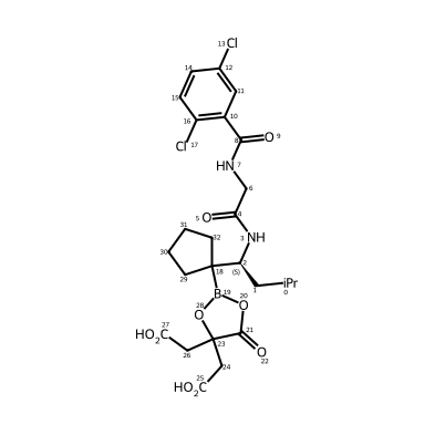 CC(C)C[C@H](NC(=O)CNC(=O)c1cc(Cl)ccc1Cl)C1(B2OC(=O)C(CC(=O)O)(CC(=O)O)O2)CCCC1